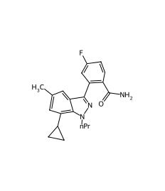 CCCn1nc(-c2cc(F)ccc2C(N)=O)c2cc(C)cc(C3CC3)c21